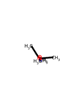 CCCCCCCCCCCCCCCCCC(=O)OC(C[N+](C)(C)C)C(=O)CCCCCCCCCCCCCCCCC